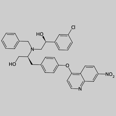 O=[N+]([O-])c1ccc2c(Oc3ccc(C[C@@H](CO)N(Cc4ccccc4)C[C@@H](O)c4cccc(Cl)c4)cc3)ccnc2c1